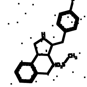 CS(=O)(=O)O.Fc1ccc(CC2NCC3c4ccccc4CCC23)cc1